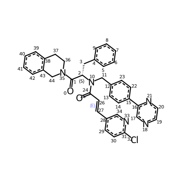 O=C([C@H](Cc1ccccc1)N(Cc1ccc(-c2cnccn2)cc1)C(=O)/C=C/c1ccc(Cl)nc1)N1CCc2ccccc2C1